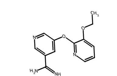 CCOc1cccnc1Oc1cncc(C(=N)N)c1